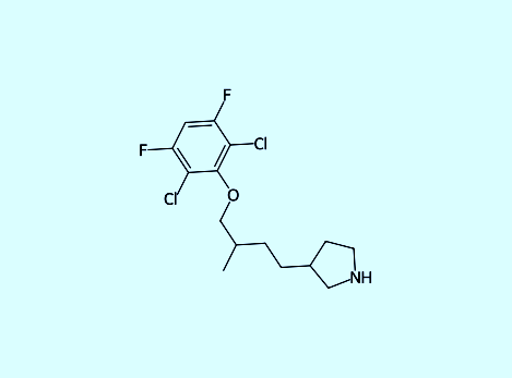 CC(CCC1CCNC1)COc1c(Cl)c(F)cc(F)c1Cl